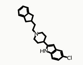 Clc1ccc2[nH]c(C3CCN(CCC4Cc5ccccc5C4)CC3)cc2c1